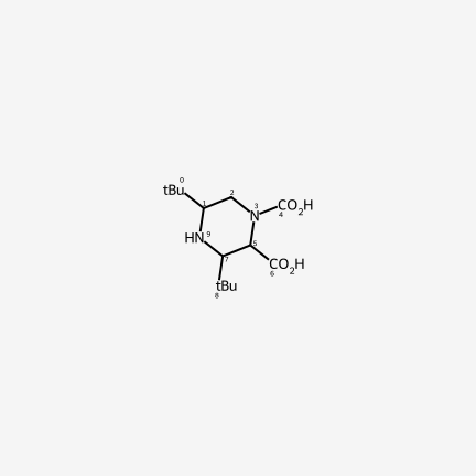 CC(C)(C)C1CN(C(=O)O)C(C(=O)O)C(C(C)(C)C)N1